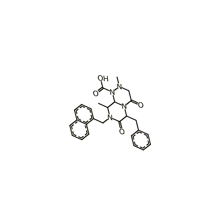 CC1C2N(C(=O)CN(C)N2C(=O)O)C(Cc2ccccc2)C(=O)N1Cc1cccc2ccccc12